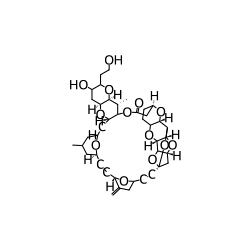 C=C1CC2CC[C@@]34C[C@H]5O[C@H]6C(O3)[C@H]3O[C@H](CCC3O[C@H]6C5O4)CC(=O)OC3[C@H](C[C@@H]4CC(C)C[C@H](CC[C@@H]1O2)O4)O[C@H]1CC(O)C(CCO)O[C@H]1[C@@H]3C